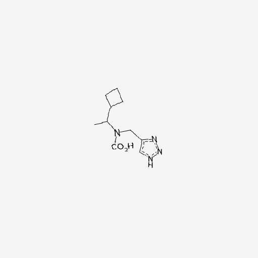 CC(C1CCC1)N(Cc1c[nH]nn1)C(=O)O